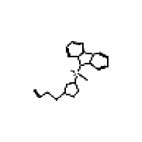 C=CCCC1CCC([Si](C)(C)C2C3C=CC=CC3C3C=CC=CC32)C1